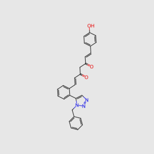 O=C(C=Cc1ccc(O)cc1)CC(=O)C=Cc1ccccc1-c1cnnn1Cc1ccccc1